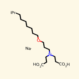 CC(C)CCCCCCCOCCCN(CCC(=O)O)CCC(=O)O.[Na]